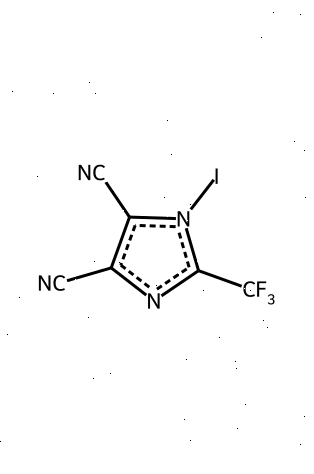 N#Cc1nc(C(F)(F)F)n(I)c1C#N